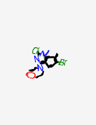 Cc1c(Br)ccc2c(N3CCCOCC3)nc(Cl)nc12